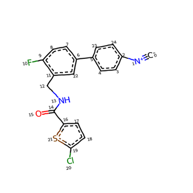 [C-]#[N+]c1ccc(-c2ccc(F)c(CNC(=O)c3ccc(Cl)s3)c2)cc1